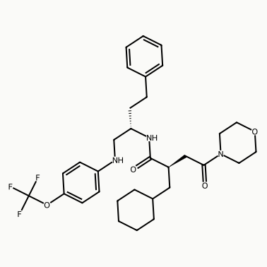 O=C(N[C@@H](CCc1ccccc1)CNc1ccc(OC(F)(F)F)cc1)[C@@H](CC(=O)N1CCOCC1)CC1CCCCC1